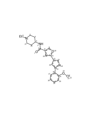 CCN1CCC(NC(=O)c2coc(-c3cnn(-c4ccccc4OC(F)(F)F)c3)n2)CC1